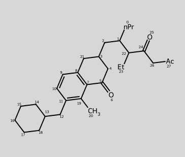 CCCC(CC1CC(=O)c2c(ccc(CC3CCCCC3)c2C)C1)C(CC)C(=O)CC(C)=O